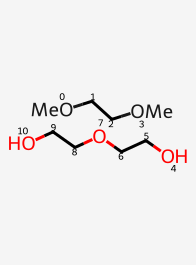 COCCOC.OCCOCCO